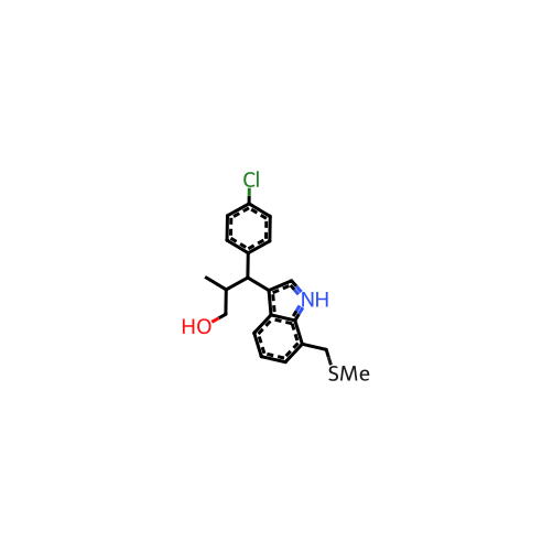 CSCc1cccc2c(C(c3ccc(Cl)cc3)C(C)CO)c[nH]c12